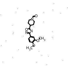 COc1ccc(-c2noc(C3CCN(C=O)CC3)n2)cc1OC